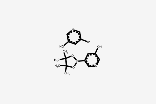 CC1(C)OB(c2cncc(O)c2)OC1(C)C.Oc1cncc(Br)c1